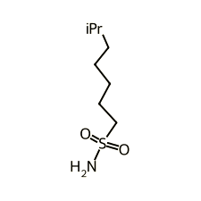 CC(C)CCCCCS(N)(=O)=O